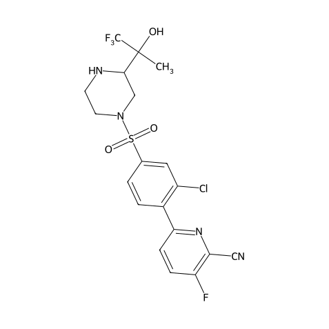 CC(O)(C1CN(S(=O)(=O)c2ccc(-c3ccc(F)c(C#N)n3)c(Cl)c2)CCN1)C(F)(F)F